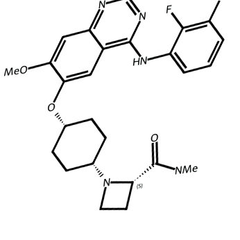 CNC(=O)[C@@H]1CCN1[C@H]1CC[C@@H](Oc2cc3c(Nc4cccc(Cl)c4F)ncnc3cc2OC)CC1